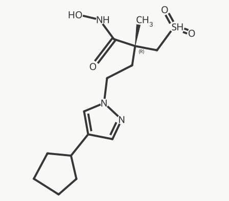 C[C@](CCn1cc(C2CCCC2)cn1)(C[SH](=O)=O)C(=O)NO